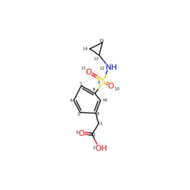 O=C(O)Cc1cccc(S(=O)(=O)NC2CC2)c1